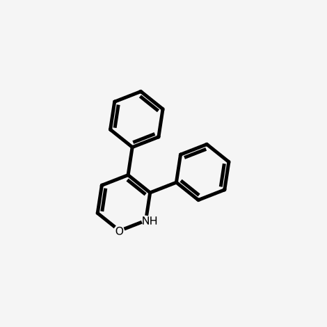 C1=CC(c2ccccc2)=C(c2ccccc2)NO1